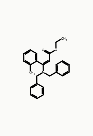 CCOC(=O)/C=C(\c1ccccc1C)N(Cc1ccccc1)Cc1ccccc1